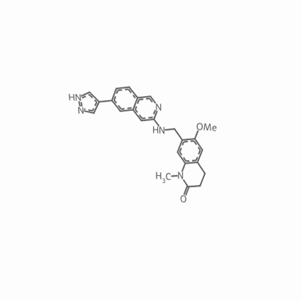 COc1cc2c(cc1CNc1cc3cc(-c4cn[nH]c4)ccc3cn1)N(C)C(=O)CC2